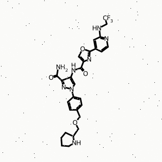 NC(=O)c1nn(-c2ccc(COCC3CCCCN3)cc2)cc1NC(=O)c1coc(-c2ccnc(NCC(F)(F)F)c2)n1